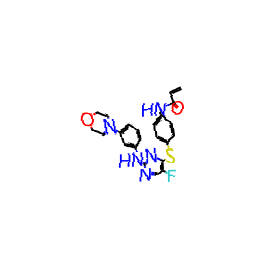 C=CC(=O)Nc1ccc(Sc2nc(Nc3cccc(N4CCOCC4)c3)ncc2F)cc1